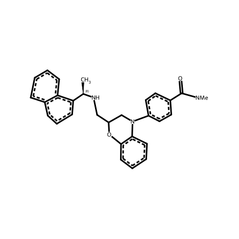 CNC(=O)c1ccc(N2CC(CN[C@H](C)c3cccc4ccccc34)Oc3ccccc32)cc1